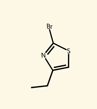 CCc1csc(Br)n1